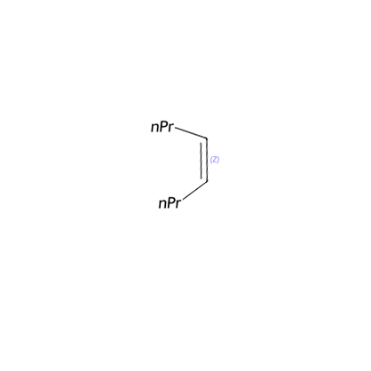 CCC/C=C\CCC